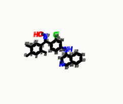 Cc1cc(C)c(C(=NO)c2ccc(Nc3cncc4ccccc34)cc2Cl)cc1C